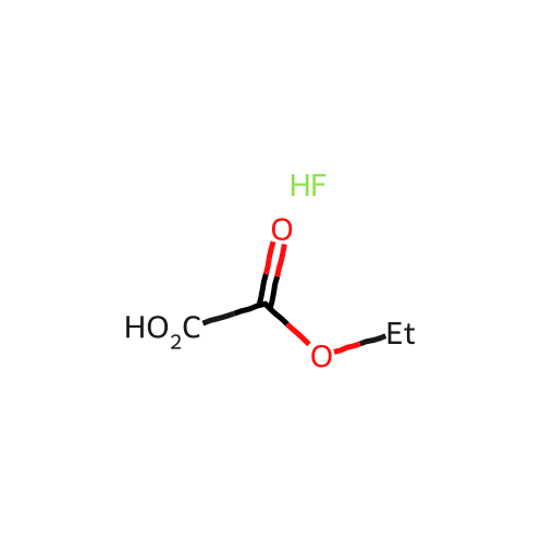 CCOC(=O)C(=O)O.F